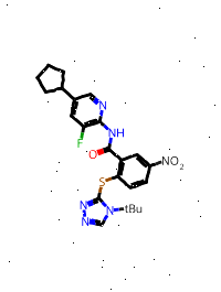 CC(C)(C)n1cnnc1Sc1ccc([N+](=O)[O-])cc1C(=O)Nc1ncc(C2CCCC2)cc1F